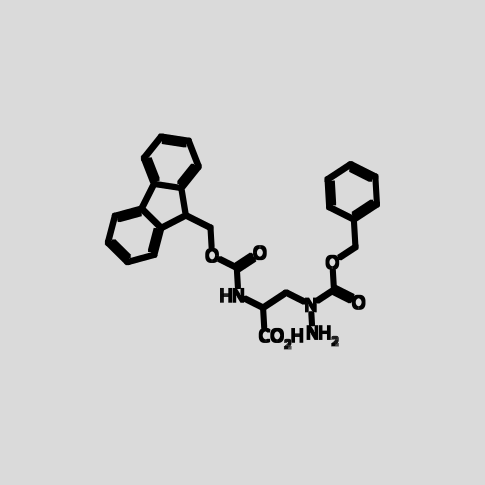 NN(CC(NC(=O)OCC1c2ccccc2-c2ccccc21)C(=O)O)C(=O)OCc1ccccc1